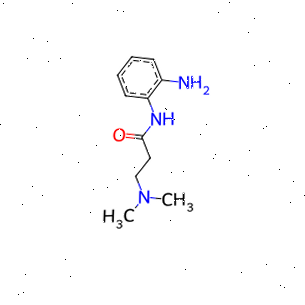 CN(C)CCC(=O)Nc1ccccc1N